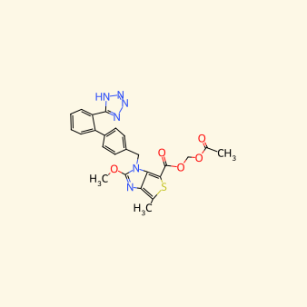 COc1nc2c(C)sc(C(=O)OCOC(C)=O)c2n1Cc1ccc(-c2ccccc2-c2nnn[nH]2)cc1